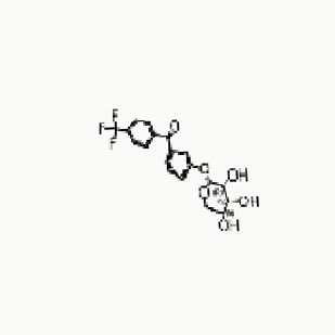 O=C(c1ccc(C(F)(F)F)cc1)c1cccc(O[C@H]2OC[C@@H](O)[C@H](O)[C@H]2O)c1